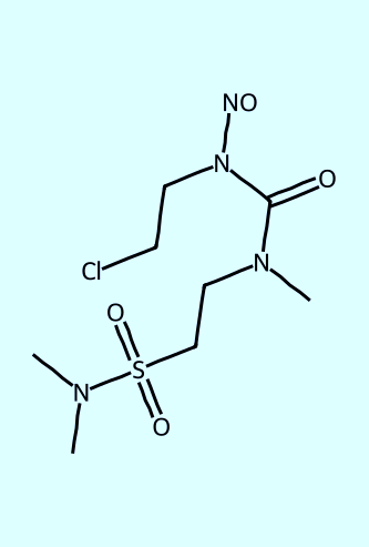 CN(CCS(=O)(=O)N(C)C)C(=O)N(CCCl)N=O